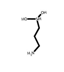 NCCC[SiH](O)O